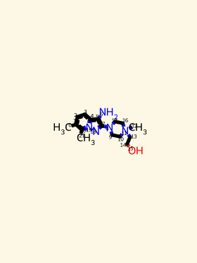 Cc1ccc2c(N)c(N3CC[N+](C)(CCO)CC3)nn2c1C